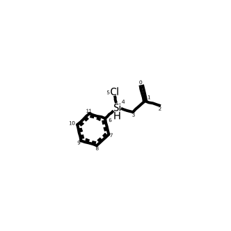 C=C(C)C[SiH](Cl)c1ccccc1